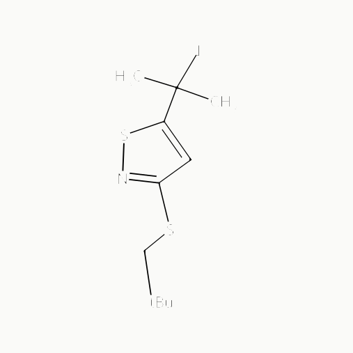 CC(C)(C)CSc1cc(C(C)(C)I)sn1